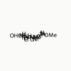 COCCn1nc(C)c(-c2ccc(-c3cnc(C(=O)Nc4ccc(C(=O)N[C@H]5[C@@H]6CN(C=O)C[C@@H]65)c(Cl)c4)n3C)c(F)c2F)c1C